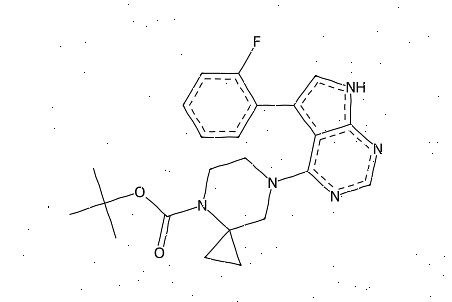 CC(C)(C)OC(=O)N1CCN(c2ncnc3[nH]cc(-c4ccccc4F)c23)CC12CC2